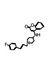 O=c1cc(NC2CCN(CC=Cc3ccc(F)cc3)CC2)c2ccccc2o1